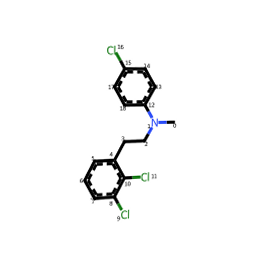 CN(CCc1cc[c]c(Cl)c1Cl)c1ccc(Cl)cc1